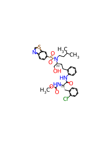 COC(=O)N[C@@H](Cc1ccccc1Cl)C(=O)Nc1ccccc1CC[C@@H](CO)N(CCC(C)C)S(=O)(=O)c1ccc2ncsc2c1